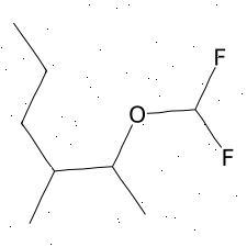 CCCC(C)C(C)OC(F)F